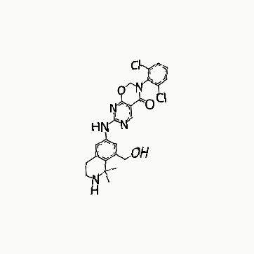 CC1(C)NCCc2cc(Nc3ncc4c(n3)OCN(c3c(Cl)cccc3Cl)C4=O)cc(CO)c21